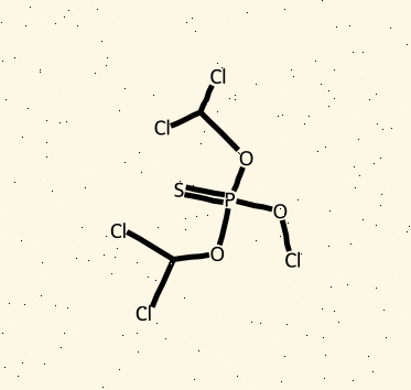 S=P(OCl)(OC(Cl)Cl)OC(Cl)Cl